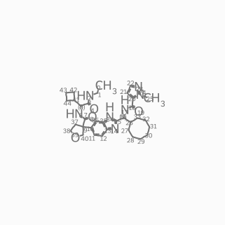 CCNC(=O)[C@H](NC(=O)C1(c2ccc3nc([C@@H](NC(=O)c4ccnn4C)C4CCCCCCC4)[nH]c3c2)CCOC1)C1CCC1